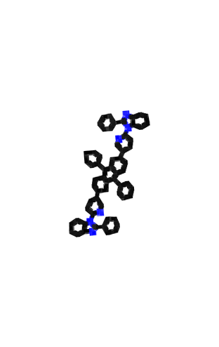 c1ccc(-c2c3ccc(-c4ccc(-n5c(-c6ccccc6)nc6ccccc65)nc4)cc3c(-c3ccccc3)c3ccc(-c4ccc(-n5c(-c6ccccc6)nc6ccccc65)nc4)cc23)cc1